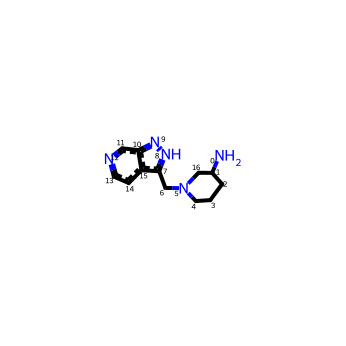 NC1CCCN(Cc2[nH]nc3cnccc23)C1